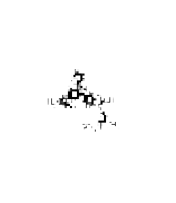 CC(CCOCC(C)Oc1cncc(-c2nn(C3CCCCO3)c3ccc(O[Si](C)(C)C(C)(C)C)cc23)c1)CS(=O)(=O)O